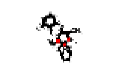 Cc1nc(N2C3CCC2CC(C)(N)C3)c(CO)nc1Sc1cccc(Cl)c1Cl